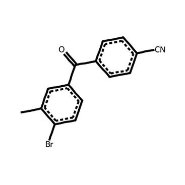 Cc1cc(C(=O)c2ccc(C#N)cc2)ccc1Br